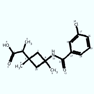 CC(C(=O)O)C1(C)CC(C)(NC(=O)c2cccc(Cl)c2)C1